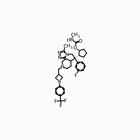 CNC(=O)O[C@H]1CCC[C@@H]1C(Cn1cnnc1C)(c1cccc(F)c1)C1CCN(CC2CN(c3ccc(C(F)(F)F)cc3)C2)CC1